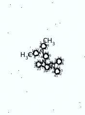 Cc1ccc(N(c2ccc(C)cc2)c2cccc(-n3c4ccccc4c4ccc5c(cc(-c6ccccc6)n5-c5ccccc5)c43)c2)cc1